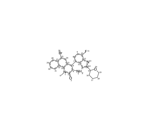 Cn1c(=O)c(N)c(-c2ccc(F)c3nn(C4CCCCO4)cc23)c2cc(Br)c3ccccc3c21